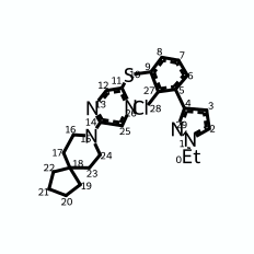 CCn1ccc(-c2cccc(Sc3cnc(N4CCC5(CCCC5)CC4)cn3)c2Cl)n1